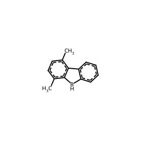 Cc1ccc(C)c2c1Bc1ccccc1-2